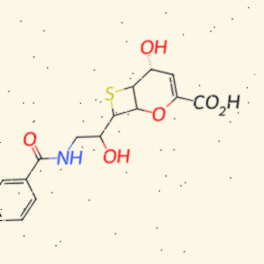 O=C(O)C1=C[C@@H](O)C2SC(C(O)CNC(=O)c3ccccc3)C2O1